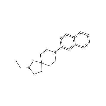 CCN1CCC2(CCN(c3ccc4cnccc4c3)CC2)C1